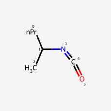 CCCC(C)N=C=O